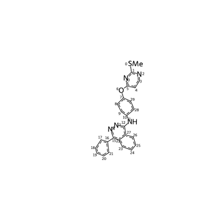 CSc1nccc(Oc2ccc(Nc3nnc(-c4ccccc4)c4ccccc34)cc2)n1